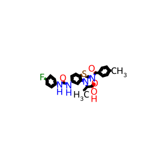 CCC(C(=O)O)n1/c(=N/C(=O)c2ccc(C)cc2)sc2ccc(NC(=O)Nc3ccc(F)cc3)cc21